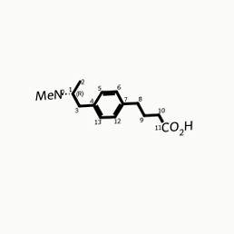 CN[C@H](C)Cc1ccc(CCCC(=O)O)cc1